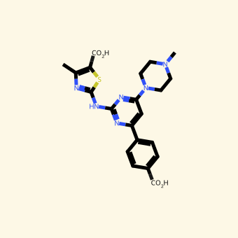 Cc1nc(Nc2nc(-c3ccc(C(=O)O)cc3)cc(N3CCN(C)CC3)n2)sc1C(=O)O